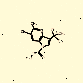 Cc1nc2c(C(C)(C)C#N)cn(C(=O)OC(C)(C)C)c2cc1Cl